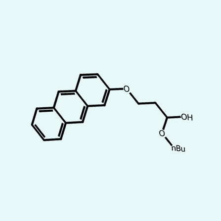 CCCCOC(O)CCOc1ccc2cc3ccccc3cc2c1